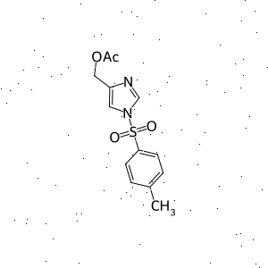 CC(=O)OCc1cn(S(=O)(=O)c2ccc(C)cc2)cn1